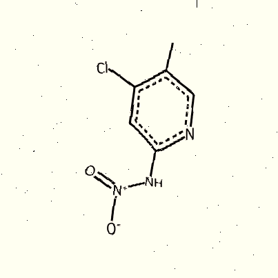 Cc1cnc(N[N+](=O)[O-])cc1Cl